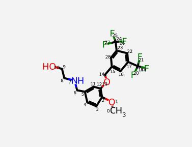 COc1ccc(CNCCO)cc1OCc1cc(C(F)(F)F)cc(C(F)(F)F)c1